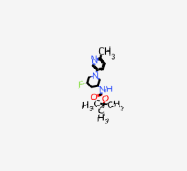 Cc1ccc(N2C[C@@H](F)C[C@H](NC(=O)OC(C)(C)C)C2)cn1